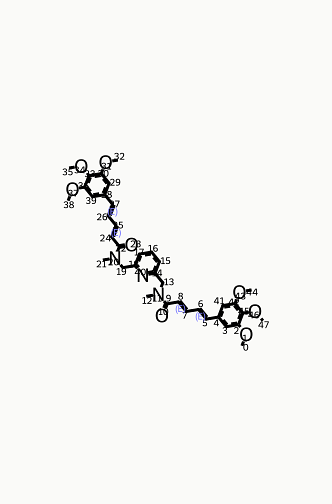 COc1cc(/C=C/C=C/C(=O)N(C)Cc2cccc(CN(C)C(=O)/C=C/C=C/c3cc(OC)c(OC)c(OC)c3)n2)cc(OC)c1OC